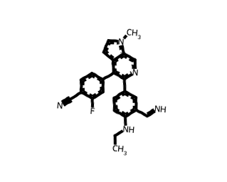 CCNc1ccc(-c2ncc3c(ccn3C)c2-c2ccc(C#N)c(F)c2)cc1C=N